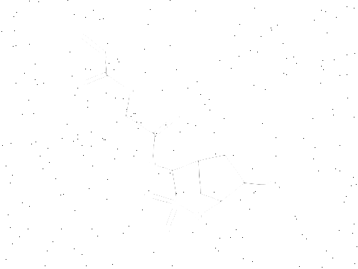 C=CC(=O)OCC(=O)OC1C2CC(C#N)C(C2)OS1(=O)=O